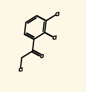 O=C(CCl)c1cccc(Cl)c1Cl